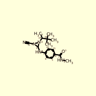 CNC(=O)c1ccc(NC2N(C#N)N2C(C)C(C)(C)C)cc1